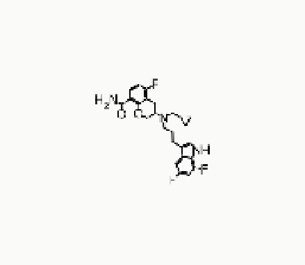 NC(=O)c1ccc(F)c2c1OCC(N(CCCc1c[nH]c3c(F)cc(F)cc13)CC1CC1)C2